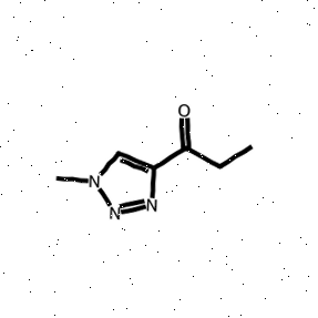 CCC(=O)c1cn(C)nn1